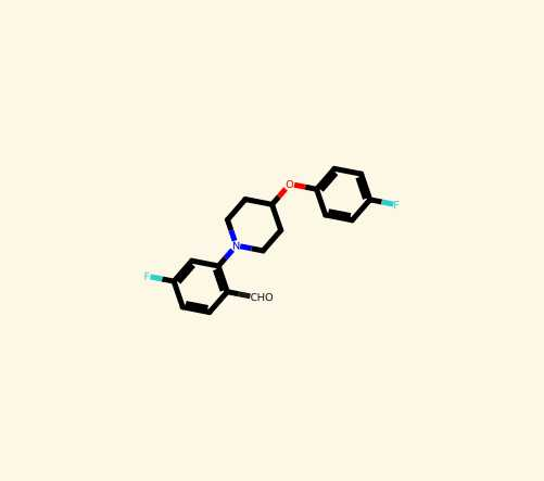 O=Cc1ccc(F)cc1N1CCC(Oc2ccc(F)cc2)CC1